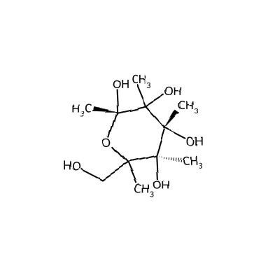 CC1(CO)O[C@](C)(O)C(C)(O)[C@](C)(O)[C@@]1(C)O